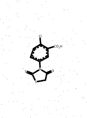 O=C(O)c1cc(N2C(=O)CSC2=S)ccc1Cl